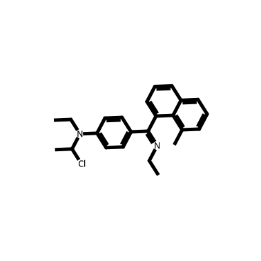 CC/N=C(\c1ccc(N(CC)C(C)Cl)cc1)c1cccc2cccc(C)c12